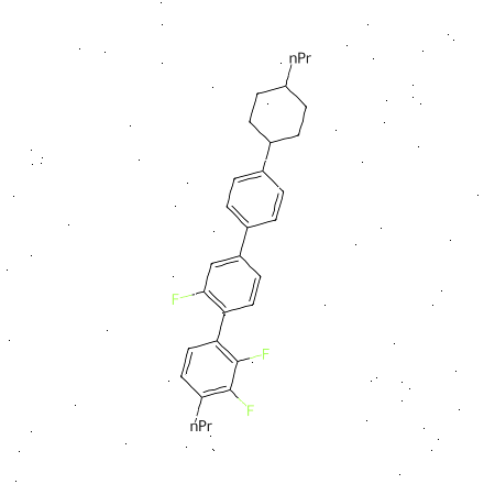 CCCc1ccc(-c2ccc(-c3ccc(C4CCC(CCC)CC4)cc3)cc2F)c(F)c1F